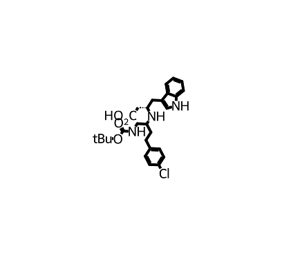 CC(C)(C)OC(=O)NCC(CCc1ccc(Cl)cc1)N[C@H](CC(=O)O)Cc1c[nH]c2ccccc12